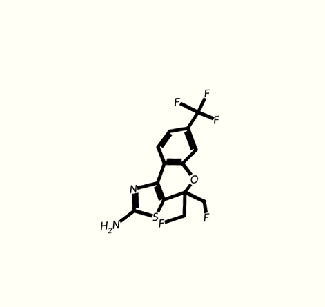 Nc1nc2c(s1)C(CF)(CF)Oc1cc(C(F)(F)F)ccc1-2